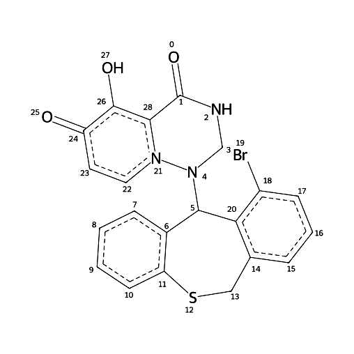 O=C1NCN(C2c3ccccc3SCc3cccc(Br)c32)n2ccc(=O)c(O)c21